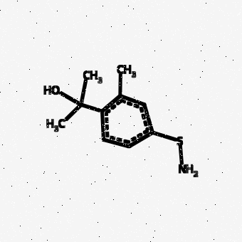 Cc1cc(SN)ccc1C(C)(C)O